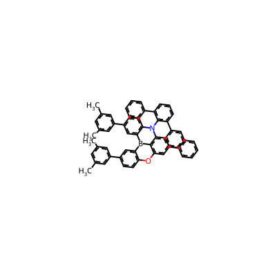 Cc1cc(C)cc(-c2ccc3c(c2)B2c4cc(-c5cc(C)cc(C)c5)ccc4N(c4c(-c5ccccc5)cccc4-c4ccccc4)c4cc(-c5ccccc5)cc(c42)O3)c1